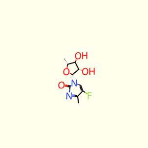 Cc1nc(=O)n([C@@H]2O[C@H](C)C(O)[C@@H]2O)cc1F